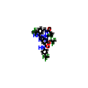 O=C(N[C@H]1CC[C@H](C(F)(F)F)CC1)c1cc2nc(Nc3cc(CNC(=O)C4CC4(F)F)ccc3C(F)(F)F)[nH]c2nc1OCC(F)F